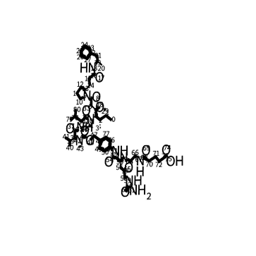 CC[C@H](C)[C@@H]([C@@H](CC(=O)N1CCC[C@H]1CCC(=O)N[C@H](C)Cc1ccccc1)OC)N(C)C(=O)[C@@H](NC(=O)[C@H](C(C)C)N(C)C(=O)OCc1ccc(NC(=O)[C@H](CCCNC(N)=O)NC(=O)CNC(=O)CCCC(=O)O)cc1)C(C)C